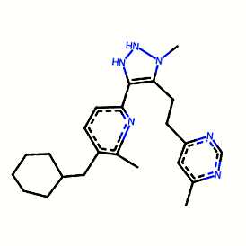 Cc1cc(CCC2=C(c3ccc(CC4CCCCC4)c(C)n3)NNN2C)ncn1